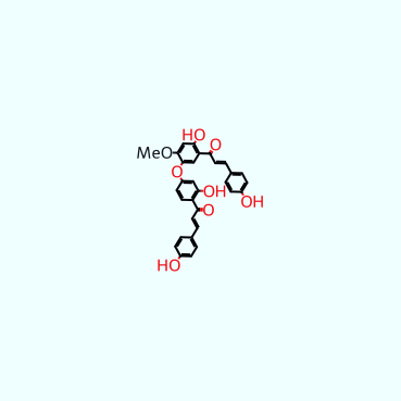 COc1cc(O)c(C(=O)C=Cc2ccc(O)cc2)cc1Oc1ccc(C(=O)C=Cc2ccc(O)cc2)c(O)c1